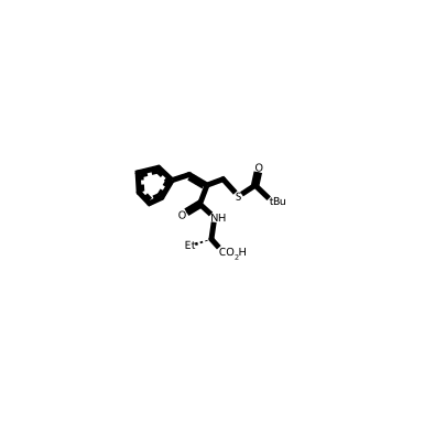 CC[C@H](NC(=O)/C(=C\c1ccccc1)CSC(=O)C(C)(C)C)C(=O)O